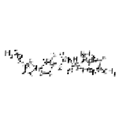 COC[C@@H]1CCN(c2ccc3c(n2)CC[C@H](NC(=O)c2sc4nc(C)cnc4c2N)C3)C1